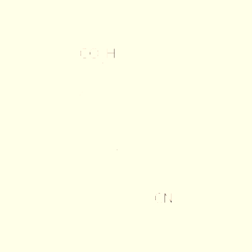 N#CC/C=C/CC(=O)O